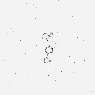 c1csc(-c2ccc([C@H]3CC[C@H]4CCCCN43)cc2)c1